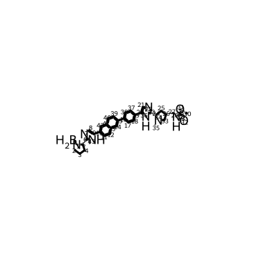 BN1CCC[C@H]1c1ncc(-c2ccc3cc(-c4ccc(-c5cnc([C@@H]6C[C@H](CNS(C)(=O)=O)CN6C)[nH]5)cc4)ccc3c2)[nH]1